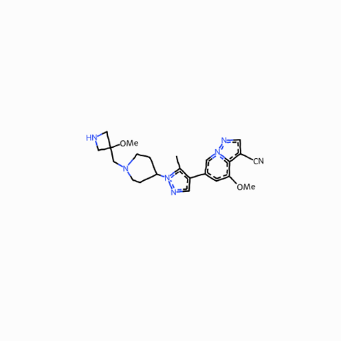 COc1cc(-c2cnn(C3CCN(CC4(OC)CNC4)CC3)c2C)cn2ncc(C#N)c12